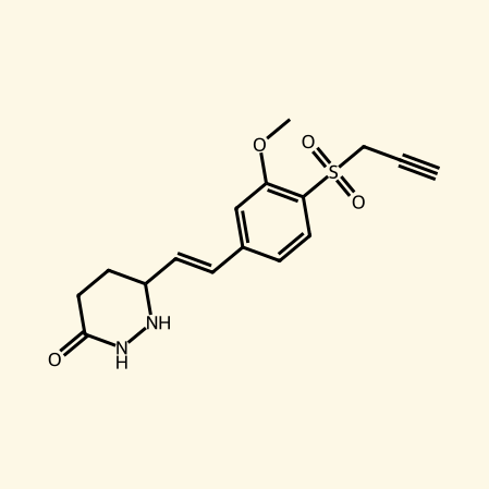 C#CCS(=O)(=O)c1ccc(/C=C/C2CCC(=O)NN2)cc1OC